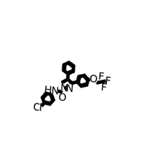 O=C(Nc1ccc(Cl)cc1)N1CC(c2ccccc2)C(c2ccc(OCC(F)(F)F)cc2)=N1